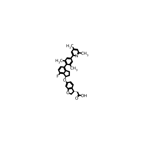 Cc1cc(C)nc(-c2cc(C)c(-c3ccc(F)c4c3CC[C@H]4Oc3ccc4c(c3)OC[C@H]4CC(=O)O)c(C)c2)c1